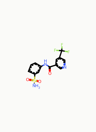 NS(=O)(=O)c1cccc(NC(=O)c2cncc(C(F)(F)F)c2)c1